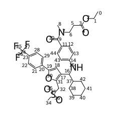 CCOC(=O)CCN(C)C(=O)c1ccc(NC(c2cc(-c3ccc(C(F)(F)F)cc3)oc2CS(C)(=O)=O)C2CCCCC2)cc1